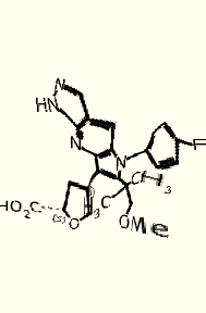 COCC(C)(C)c1c([C@H]2CO[C@H](C(=O)O)C2)c2nc3[nH]ncc3cc2n1-c1ccc(F)cc1